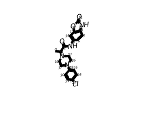 CC(C(=O)Nc1ccc2[nH]c(=O)oc2c1)N1CCN(c2ccc(Cl)cc2)CC1